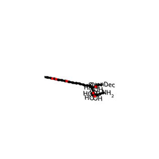 CC#CC#CC#CC#CC#CC#CC#CC#CC#CC#CC#CC#CC(=O)N[C@@H](CO[C@H]1OC(COCCCN)[C@H](O)[C@H](O)C1O)[C@H](O)[C@H](O)CCCCCCCCCCCCCC